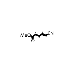 COC(=O)CC/C=C/C#N